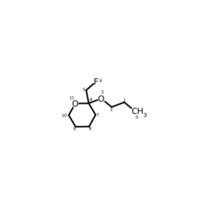 CCCOC1(CF)CCCCO1